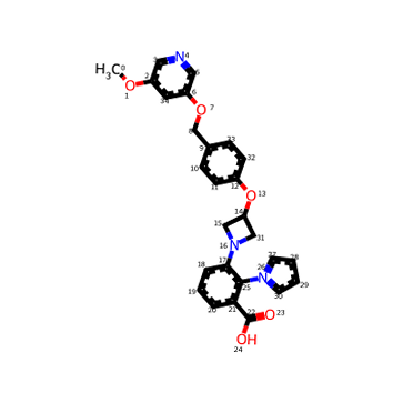 COc1cncc(OCc2ccc(OC3CN(c4cccc(C(=O)O)c4-n4cccc4)C3)cc2)c1